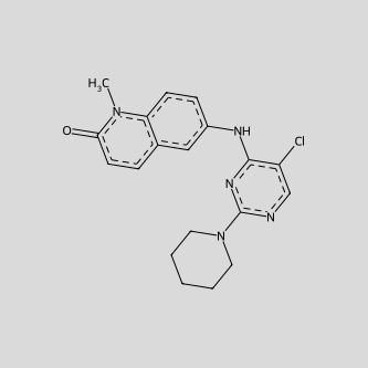 Cn1c(=O)ccc2cc(Nc3nc(N4CCCCC4)ncc3Cl)ccc21